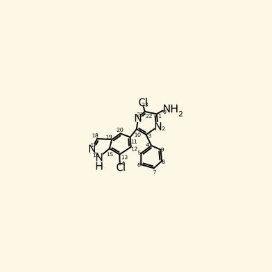 Nc1nc(-c2ccccc2)c(-c2cc(Cl)c3[nH]ncc3c2)nc1Cl